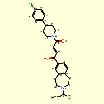 CC(C)N1CCc2ccc(C(=O)/C=C/C(=O)N3CCC(c4ccc(Cl)cc4)CC3)cc2CC1